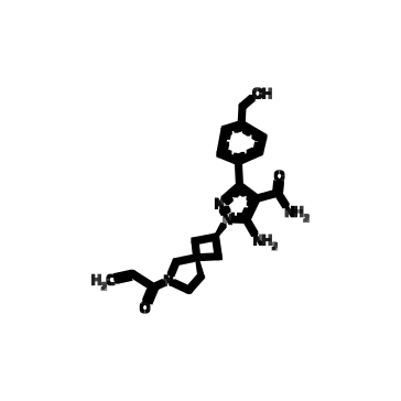 C=CC(=O)N1CC[C@]2(C1)C[C@H](n1nc(-c3ccc(CO)cc3)c(C(N)=O)c1N)C2